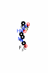 O=C(/N=C1\SCC(=O)N1c1ccccc1C(F)(F)F)Nc1ccc2c(ccc3c2ncn3-c2ccc(OC(F)(F)F)cc2)c1